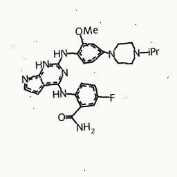 COc1cc(N2CCN(C(C)C)CC2)ccc1Nc1nc(Nc2ccc(F)cc2C(N)=O)c2ccnc-2[nH]1